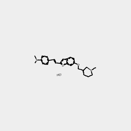 CN1CCCC(COc2ccc3cc(C=Cc4ccc(N(C)C)cc4)oc3c2)C1.Cl